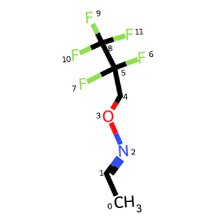 C/C=N/OCC(F)(F)C(F)(F)F